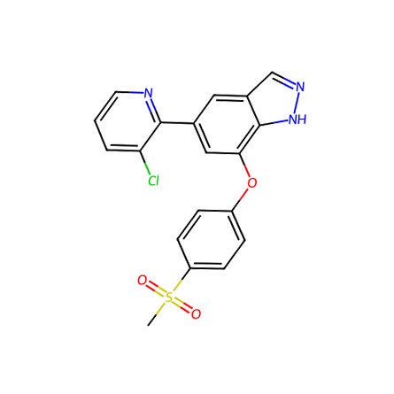 CS(=O)(=O)c1ccc(Oc2cc(-c3ncccc3Cl)cc3cn[nH]c23)cc1